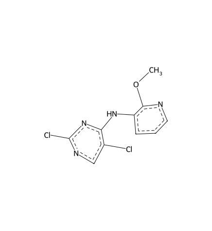 COc1ncccc1Nc1nc(Cl)ncc1Cl